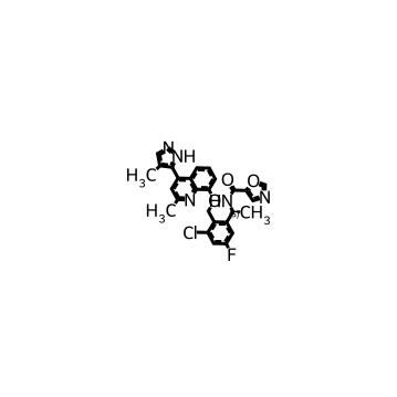 Cc1cc(-c2[nH]ncc2C)c2cccc(OCc3c(Cl)cc(F)cc3[C@H](C)NC(=O)c3cnco3)c2n1